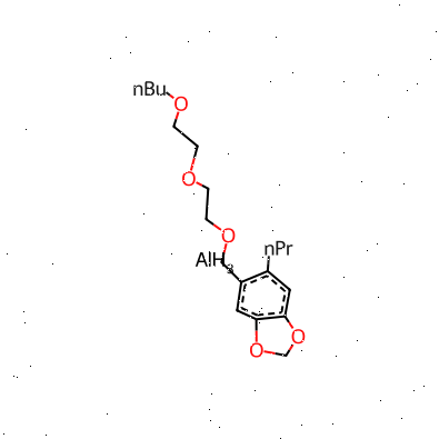 CCCCOCCOCCOCc1cc2c(cc1CCC)OCO2.[AlH3]